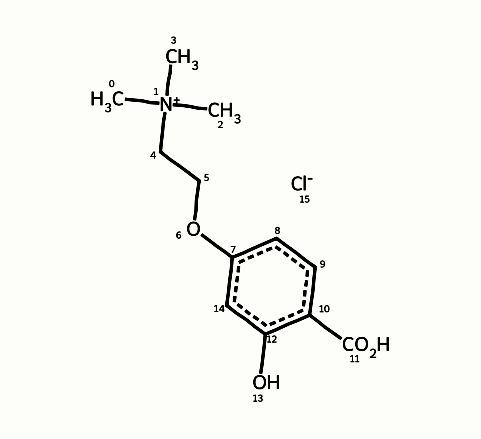 C[N+](C)(C)CCOc1ccc(C(=O)O)c(O)c1.[Cl-]